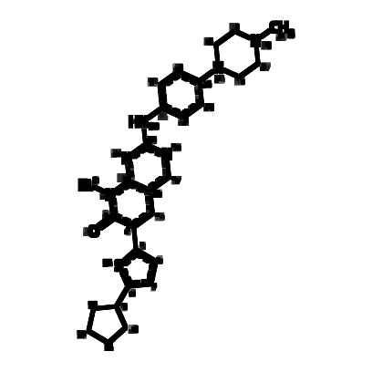 CCn1c(=O)c(-c2ccc(C3CCCC3)s2)cc2cnc(Nc3ccc(N4CCN(C)CC4)cc3)nc21